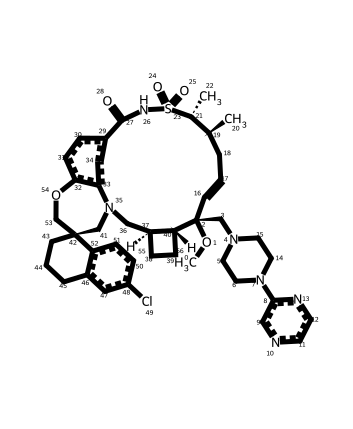 CO[C@@]1(CN2CCN(c3cnccn3)CC2)/C=C/C[C@H](C)[C@@H](C)S(=O)(=O)NC(=O)c2ccc3c(c2)N(C[C@@H]2CC[C@H]21)C[C@@]1(CCCc2cc(Cl)ccc21)CO3